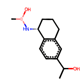 CB(O)N[C@@H]1CCCc2cc(C(C)O)ccc21